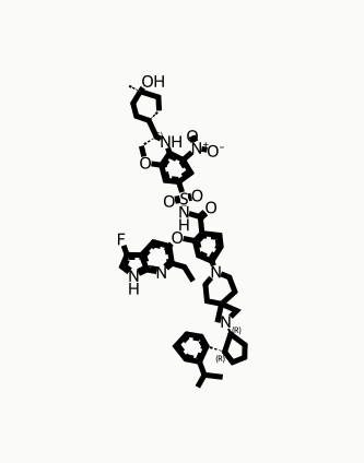 CCc1nc2[nH]cc(F)c2cc1Oc1cc(N2CCC3(CC2)CN([C@@H]2CCC[C@@H]2c2ccccc2C(C)C)C3)ccc1C(=O)NS(=O)(=O)c1cc2c(c([N+](=O)[O-])c1)N[C@@H]([C@H]1CC[C@](C)(O)CC1)CO2